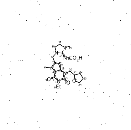 CCn1c(=O)c2c(C)c(CN3CCN(C)C3=NC(=O)O)sc2n(CC2CCCO2)c1=O